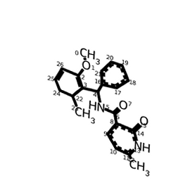 COC1=C(C(NC(=O)c2ccc(C)[nH]c2=O)c2ccccc2)C(C)CC=C1